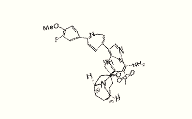 COc1ccc(-c2ccc(-c3cnn4c(N)c(S(C)(=O)=O)c([C@H]5C[C@H]6CC[C@@H](C5)N6C(=O)CO)nc34)cn2)cc1F